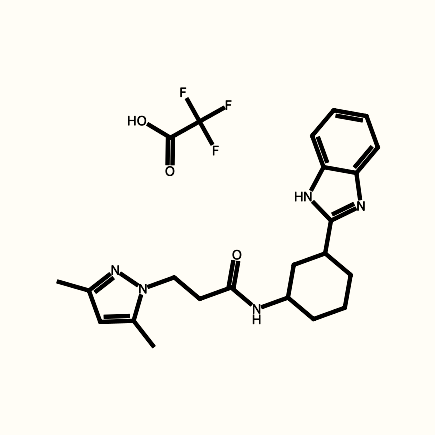 Cc1cc(C)n(CCC(=O)NC2CCCC(c3nc4ccccc4[nH]3)C2)n1.O=C(O)C(F)(F)F